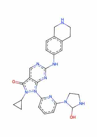 O=c1c2cnc(Nc3ccc4c(c3)CCNC4)nc2n(-c2cccc(N3CCNC3O)n2)n1C1CC1